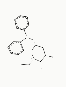 OC[C@H]1O[C@@H](OP(c2ccccc2)c2ccccc2)[C@H](O)[C@@H](O)[C@@H]1O